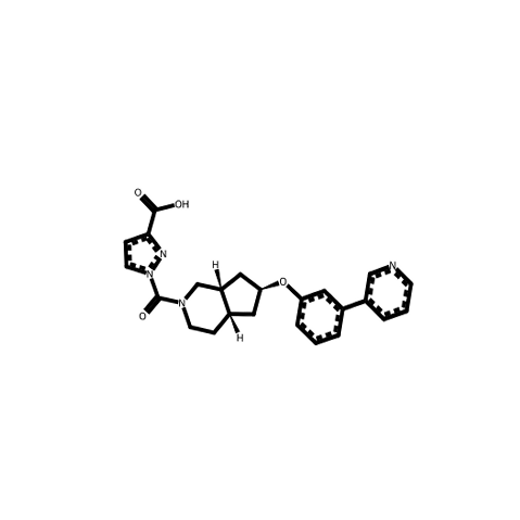 O=C(O)c1ccn(C(=O)N2CC[C@H]3C[C@H](Oc4cccc(-c5cccnc5)c4)C[C@H]3C2)n1